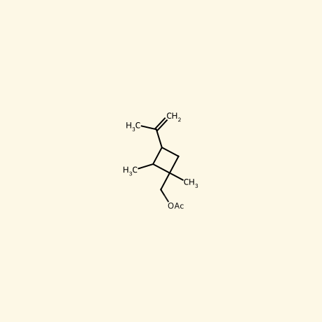 C=C(C)C1CC(C)(COC(C)=O)C1C